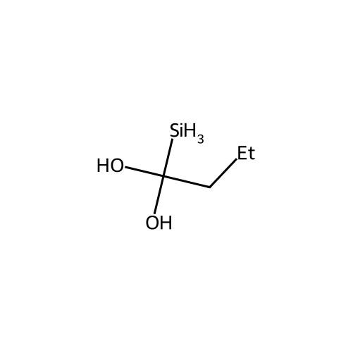 CCCC(O)(O)[SiH3]